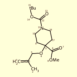 C=C(C)COC1(C(=O)OC)CCN(C(=O)OC(C)(C)C)CC1